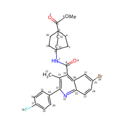 COC(=O)C12CCC(NC(=O)c3c(C)c(-c4ccc(F)cc4)nc4ccc(Br)cc34)(CC1)CC2